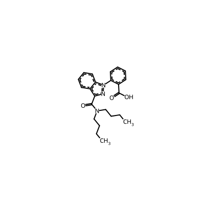 CCCCN(CCCC)C(=O)c1nn(-c2ccccc2C(=O)O)c2ccccc12